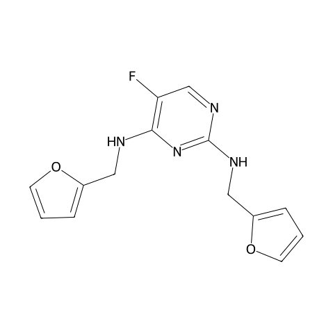 Fc1cnc(NCc2ccco2)nc1NCc1ccco1